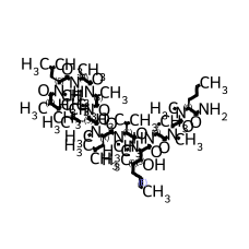 C/C=C/C[C@@H](C)[C@H](O)C(C(=O)N[C@H](CC)C(=O)N(C)CC(=O)N(C)[C@@H](CCCC)C(N)=O)N(C)C(=O)[C@H](C(C)C)N(C)C(=O)[C@@H](CC(C)C)N(C)C(=O)[C@H](CC(C)C)N(C)C(=O)[C@H](C)NC(=O)[C@@H](C)NC(=O)[C@H](CC(C)C)N(C)C(=O)[C@H](C)C(C)C